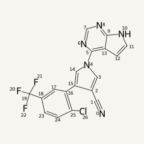 N#Cc1cn(-c2ncnc3[nH]ccc23)cc1-c1cc(C(F)(F)F)ccc1Cl